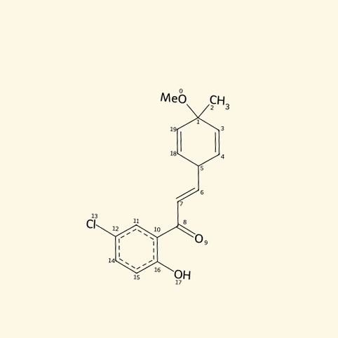 COC1(C)C=CC(/C=C/C(=O)c2cc(Cl)ccc2O)C=C1